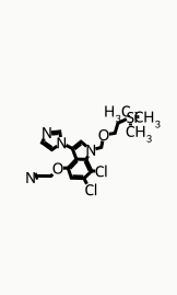 C[Si](C)(C)CCOCn1cc(-n2ccnc2)c2c(OCC#N)cc(Cl)c(Cl)c21